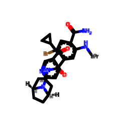 CCCNc1cc(C(=O)N[C@H]2C[C@H]3CC[C@@H](C2)N3c2ccc(C(=O)C3CC3)cn2)c(Br)cc1C(N)=O